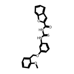 COc1ccccc1COc1cccc(NC(=S)NC(=O)c2cc3ccccc3o2)c1